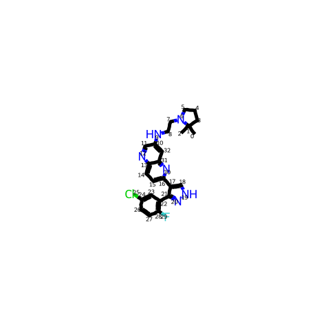 CC1(C)CCCN1CCNc1cnc2ccc(-c3c[nH]nc3-c3cc(Cl)ccc3F)nc2c1